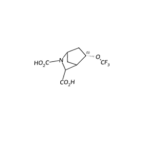 O=C(O)C1C2CC(C[C@@H]2OC(F)(F)F)N1C(=O)O